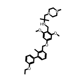 CCOc1cccc(-c2cccc(COc3cc(OC)c(CNC(C)(C)CN4CCN(C)CC4)c(OC)c3)c2C)c1